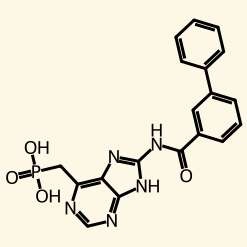 O=C(Nc1nc2c(CP(=O)(O)O)ncnc2[nH]1)c1cccc(-c2ccccc2)c1